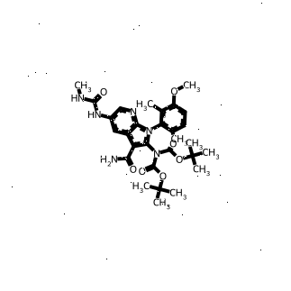 CNC(=O)Nc1cnc2c(c1)c(C(N)=O)c(N(C(=O)OC(C)(C)C)C(=O)OC(C)(C)C)n2-c1c(C)ccc(OC)c1C